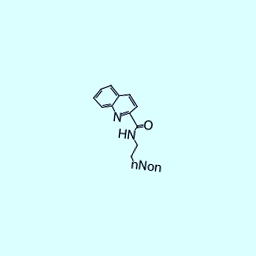 CCCCCCCCCCCNC(=O)c1ccc2ccccc2n1